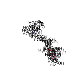 CCC(OC(C)=O)C(OC(O)C(O)C(O)C(C)O)C(O)C(O)OC1C(C)OCC(OC(=O)[C@]23CCC(C)(C)CC2C2=CCC4[C@@]5(C)CC[C@H](OC(O)/C(OC6OC(CO)C(O)C(O)C6O)=C(/OC(CO)OCC(O)C(C)O)C(O)CC(=O)NCCN6C(=O)C=CC6=O)[C@@](C)(C=O)C5CC[C@@]4(C)[C@]2(C)C[C@H]3O)(OC2OC(C)C(OC(O)/C(O)=C(/OC3OC(CO)C(O)C(O)C3O)C(C)O)C(O)C2O)C1O